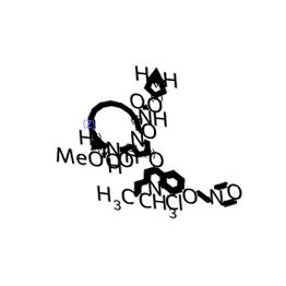 COC(=O)[C@@]12C[C@H]1/C=C\CCCCC[C@H](NC(=O)O[C@@H]1C[C@@H]3C[C@@H]3C1)C(=O)N1C[C@H](Oc3cc(C=C(C)C)nc4c(Cl)c(OCCN5CCOCC5)ccc34)C[C@H]1C(=O)N2